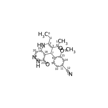 CCC1=C(C(C)=O)C(c2ccc(C#N)cc2OC)c2c(cn[nH]c2=O)N1